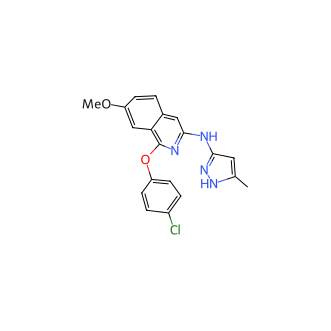 COc1ccc2cc(Nc3cc(C)[nH]n3)nc(Oc3ccc(Cl)cc3)c2c1